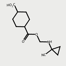 N#CC1(NCOC(=O)C2CCC(C(=O)O)CC2)CC1